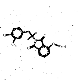 CCCC(C)Oc1cccc2c1C(=O)N(C(C)(C)Cc1ccc(Cl)c(C(F)(F)F)c1)C2=O